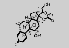 CCCC(=O)O[C@]1(C(=O)CO)[C@@H](C)C[C@H]2[C@@H]3C[C@H](C)C4=CC(=O)C=C[C@]4(C)[C@@]3(Cl)[C@@H](O)C[C@@]21C